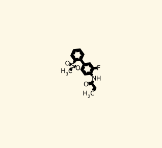 C=CC(=O)Nc1ccc(-c2ccccc2S(C)(=O)=O)cc1F